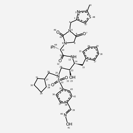 Cc1nc(CN2C(=O)CN([C@H](C(=O)N[C@@H](Cc3ccccc3)[C@@H](O)CN(CC3CCCC3)S(=O)(=O)c3ccc(C=NO)cc3)C(C)C)C2=O)cs1